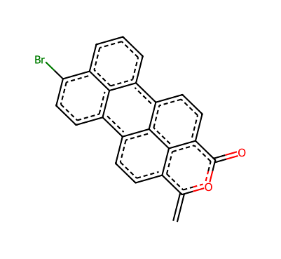 C=c1oc(=O)c2ccc3c4cccc5c(Br)ccc(c6ccc1c2c63)c54